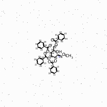 CO/N=C/[C@H](OC(=O)c1ccccc1)[C@@H](OC(=O)c1ccccc1)[C@H](OC(=O)c1ccccc1)[C@H](O)COC(=O)c1ccccc1